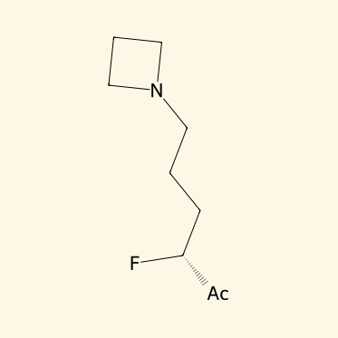 CC(=O)[C@H](F)CCCN1CCC1